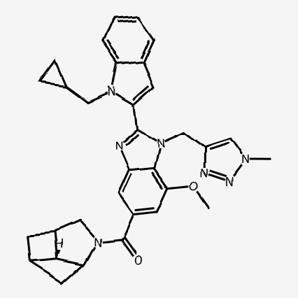 COc1cc(C(=O)N2CC3CC4CC2[C@H]43)cc2nc(-c3cc4ccccc4n3CC3CC3)n(Cc3cn(C)nn3)c12